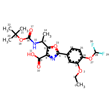 CCOc1cc(-c2nc(C(=O)O)c(C(C)NC(=O)OC(C)(C)C)o2)ccc1OC(F)F